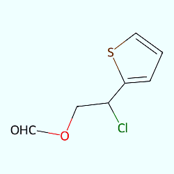 O=COCC(Cl)c1cccs1